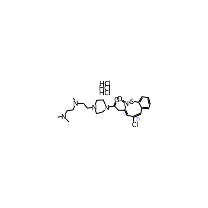 CN(C)CCN(C)CCN1CCN(C(=O)C/C2=C/C(Cl)=C\c3ccccc3S[N+]2=O)CC1.Cl.Cl.Cl